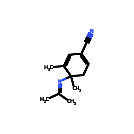 CC1=CC(C#N)=CCC1(C)N=C(C)C